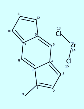 CC1=C[C]=c2cc3c(cc21)=CC=C3.[Cl][Zr][Cl]